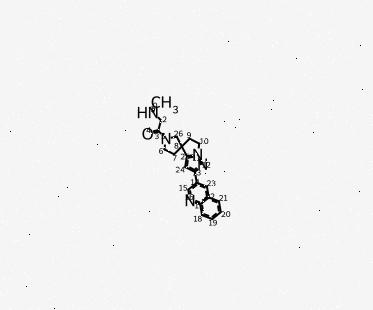 CNCC(=O)N1CCC2(CCn3nc(-c4cnc5ccccc5c4)cc32)C1